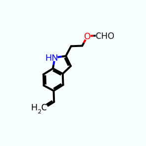 C=Cc1ccc2[nH]c(CCOC=O)cc2c1